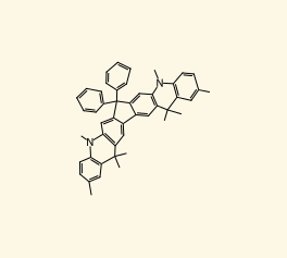 Cc1ccc2c(c1)C(C)(C)c1cc3c(cc1N2C)C(c1ccccc1)(c1ccccc1)c1cc2c(cc1-3)C(C)(C)c1cc(C)ccc1N2C